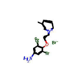 Cc1ccc[n+](CCOc2c(Br)cc(N)cc2Br)c1.[Br-]